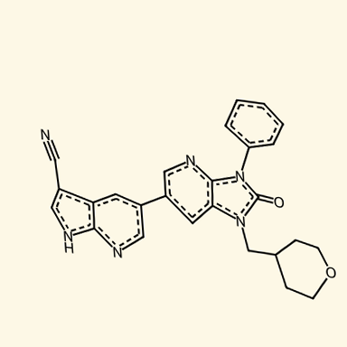 N#Cc1c[nH]c2ncc(-c3cnc4c(c3)n(CC3CCOCC3)c(=O)n4-c3ccccc3)cc12